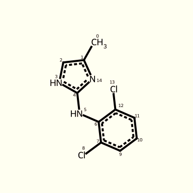 Cc1c[nH]c(Nc2c(Cl)cccc2Cl)n1